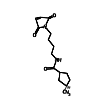 C[C@H]1CCC(C(=O)NCCCCN2C(=O)C=CC2=O)C1